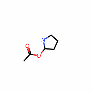 CC(=O)OC1CCC[N]1